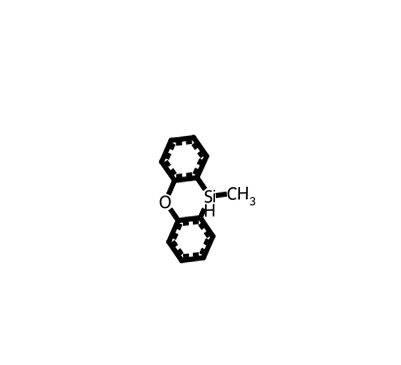 C[SiH]1c2ccccc2Oc2ccccc21